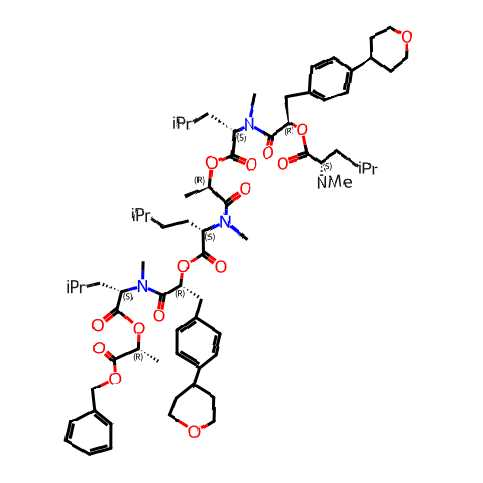 CN[C@@H](CC(C)C)C(=O)O[C@H](Cc1ccc(C2CCOCC2)cc1)C(=O)N(C)[C@@H](CC(C)C)C(=O)O[C@H](C)C(=O)N(C)[C@@H](CCC(C)C)C(=O)O[C@H](Cc1ccc(C2CCOCC2)cc1)C(=O)N(C)[C@@H](CC(C)C)C(=O)O[C@H](C)C(=O)OCc1ccccc1